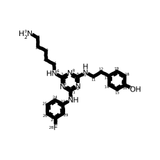 NCCCCCNc1nc(NCCc2ccc(O)cc2)nc(Nc2cccc(F)c2)n1